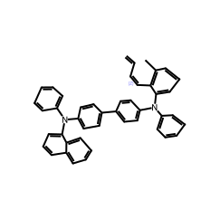 C=C/C=C\c1c(C)cccc1N(c1ccccc1)c1ccc(-c2ccc(N(c3ccccc3)c3cccc4ccccc34)cc2)cc1